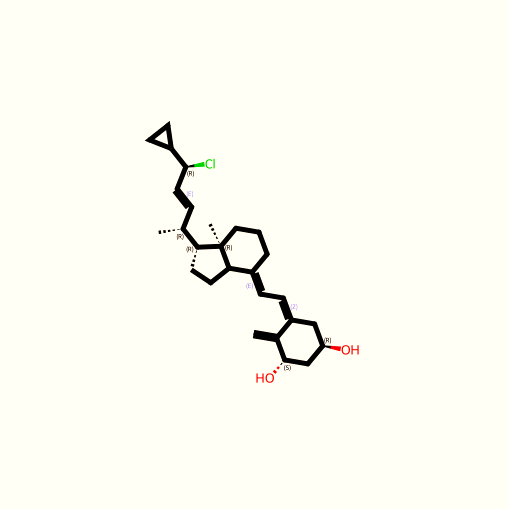 C=C1/C(=C\C=C2/CCC[C@@]3(C)C2CC[C@@H]3[C@H](C)/C=C/[C@H](Cl)C2CC2)C[C@@H](O)C[C@@H]1O